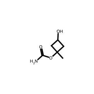 CC1(OC(N)=O)CC(O)C1